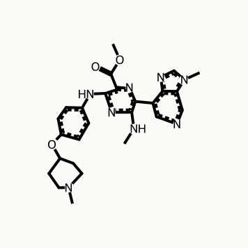 CNc1nc(Nc2ccc(OC3CCN(C)CC3)cc2)c(C(=O)OC)nc1-c1cncc2c1ncn2C